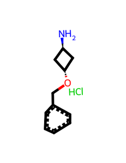 Cl.N[C@H]1C[C@H](OCc2ccccc2)C1